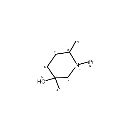 CC(C)N1CC(C)(O)CCC1C